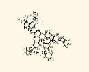 CC(C)(C)c1ccc(N2B3c4cc5oc6ccccc6c5cc4-n4c5cc6c(cc5c5ccc(c3c54)-c3cc4c(cc32)sc2cc3c(cc24)C(C)(C)CCC3(C)C)oc2ccccc26)cc1